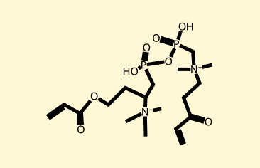 C=CC(=O)CC[N+](C)(C)CP(=O)(O)OP(=O)(O)CC(CCOC(=O)C=C)[N+](C)(C)C